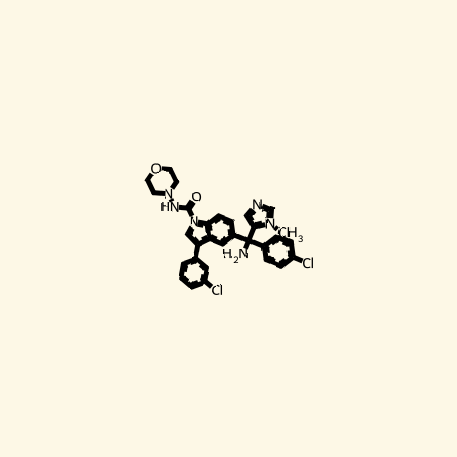 Cn1cncc1C(N)(c1ccc(Cl)cc1)c1ccc2c(c1)c(-c1cccc(Cl)c1)cn2C(=O)NN1CCOCC1